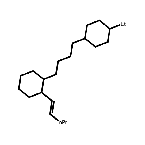 CCC/C=C/C1CCCCC1CCCCC1CCC(CC)CC1